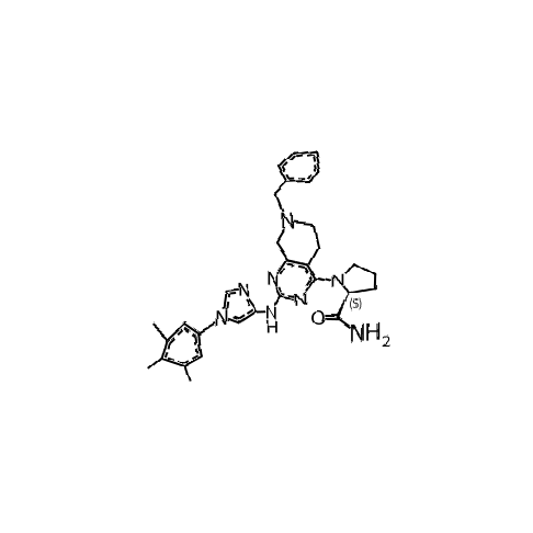 Cc1cc(-n2cnc(Nc3nc4c(c(N5CCC[C@H]5C(N)=O)n3)CCN(Cc3ccccc3)C4)c2)cc(C)c1C